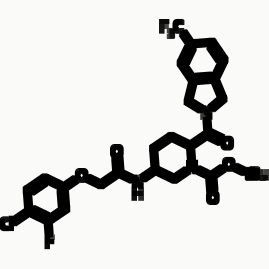 CC(C)(C)OC(=O)N1CC(NC(=O)COc2ccc(Cl)c(F)c2)CCC1C(=O)N1Cc2ccc(C(F)(F)F)cc2C1